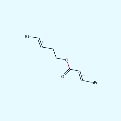 CC/C=C/CCOC(=O)/C=C/CCC